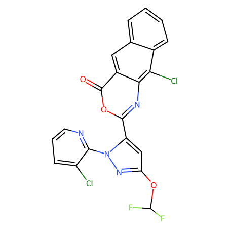 O=c1oc(-c2cc(OC(F)F)nn2-c2ncccc2Cl)nc2c(Cl)c3ccccc3cc12